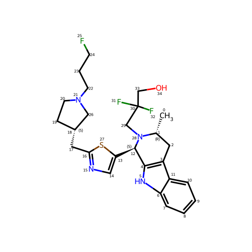 C[C@@H]1Cc2c([nH]c3ccccc23)[C@@H](c2cnc(C[C@@H]3CCN(CCCF)C3)s2)N1CC(F)(F)CO